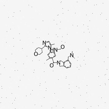 Cc1cc(-n2c(C)cnc2C2CCOCC2)c(NC=O)cc1C(=O)N1Cc2cccc(CN(C)C)c2C1